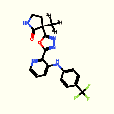 [2H]C([2H])([2H])[C@@]1(c2nnc(-c3ncccc3Nc3ccc(C(F)(F)F)cc3)o2)CCNC1=O